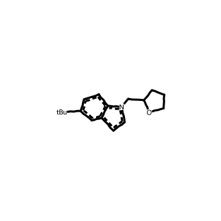 CC(C)(C)c1ccc2c(ccn2CC2CCCO2)c1